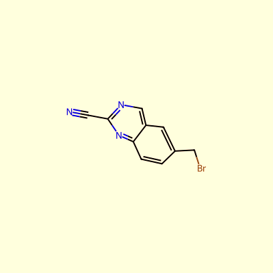 N#Cc1ncc2cc(CBr)ccc2n1